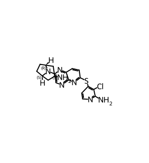 Nc1nccc(Sc2ccc3nc(N4[C@@H]5CC[C@H]4C[C@H](N)C5)cnc3n2)c1Cl